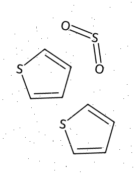 O=S=O.c1ccsc1.c1ccsc1